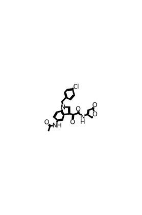 CC(=O)Nc1ccc2c(c1)c(C(=O)C(=O)NC1=CC(=O)OC1)cn2Cc1ccc(Cl)cc1